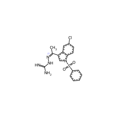 C/C(=N/NC(=N)N)c1cn(S(=O)(=O)c2ccccc2)c2ccc(Cl)cc12